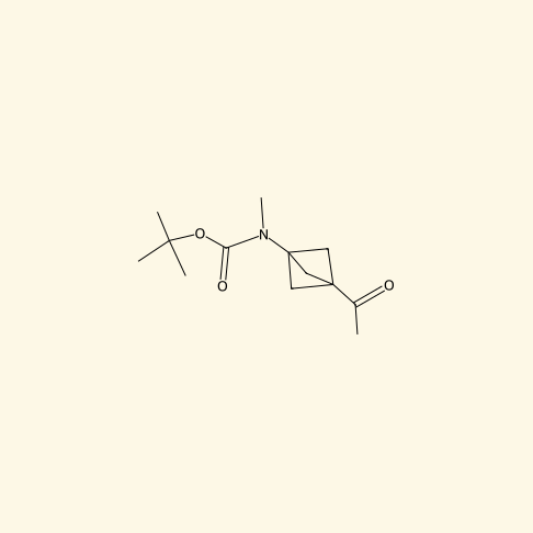 CC(=O)C12CC(N(C)C(=O)OC(C)(C)C)(C1)C2